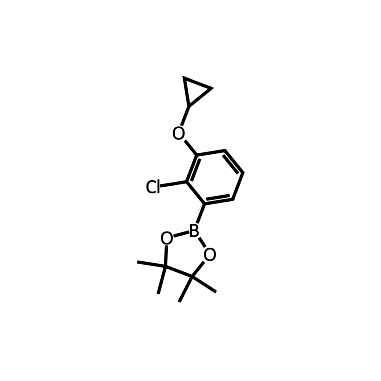 CC1(C)OB(c2cccc(OC3CC3)c2Cl)OC1(C)C